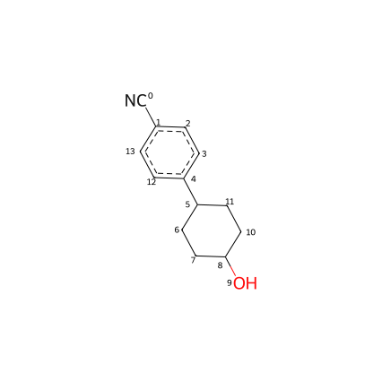 N#Cc1ccc(C2CCC(O)CC2)cc1